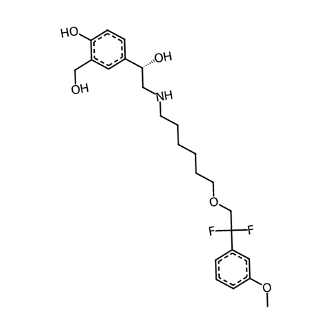 COc1cccc(C(F)(F)COCCCCCCNC[C@@H](O)c2ccc(O)c(CO)c2)c1